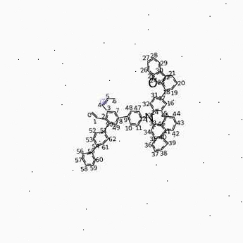 C=Cc1c(/C=C\C)cc(-c2ccc(N(c3ccc(-c4cccc5c4oc4ccccc45)cc3)c3cc4ccccc4c4ccccc34)cc2)cc1-c1ccc(-c2ccccc2)cc1